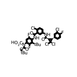 CC(C)(C)OC(=O)N(C(=O)O)c1cc(F)c(NC(=O)c2cc(NC(=O)[C@H]3[C@H](c4ccc(F)c(Cl)c4)C3(Cl)Cl)ccc2Cl)c(C(C)(C)C)c1F